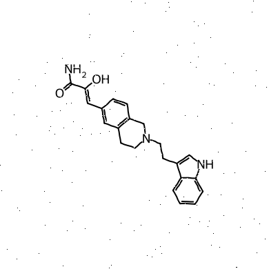 NC(=O)/C(O)=C/c1ccc2c(c1)CCN(CCc1c[nH]c3ccccc13)C2